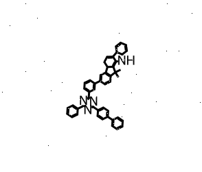 CC1(C)C2=C3NC4C=CC=CC4C3=CCC2c2cc(-c3cccc(-c4nc(-c5ccccc5)nc(-c5ccc(-c6ccccc6)cc5)n4)c3)ccc21